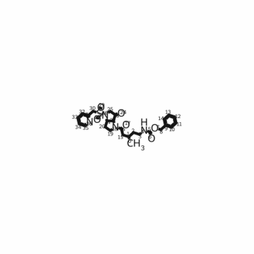 CC(CCNC(=O)OCc1ccccc1)CC(=O)N1CCC2C1C(=O)CN2S(=O)(=O)Cc1ccccn1